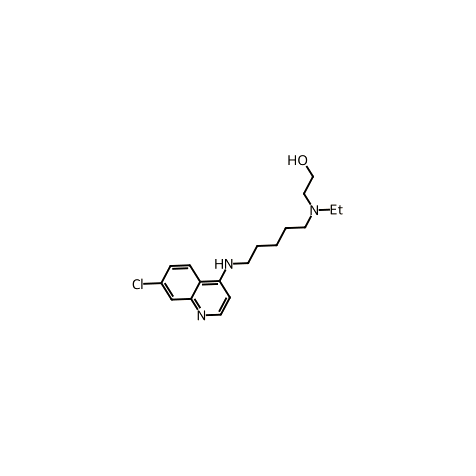 CCN(CCO)CCCCCNc1ccnc2cc(Cl)ccc12